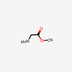 CNCC(=O)OC#N